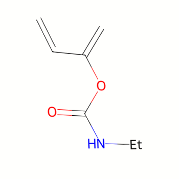 C=CC(=C)OC(=O)NCC